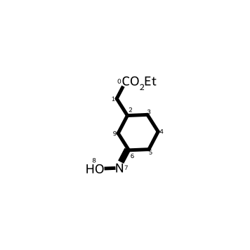 CCOC(=O)CC1CCCC(=NO)C1